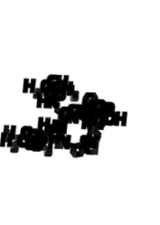 CN1C(=O)[C@H](CCCCNC(=O)OC(C)(C)C)NC(=O)[C@H](CCCNC(=O)OC(C)(C)C)NCc2ccccc2SC2=C(CNC(=O)[C@@H]1Cc1c[nH]c3ccccc13)C(c1ccc(C(=O)O)c(O)c1)=CCN2Cl